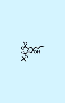 CCCCC1(O)CC(C(=O)OC)N(C(=O)OC(C)(C)C)C1